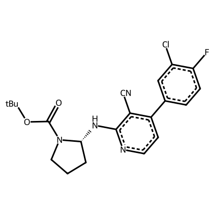 CC(C)(C)OC(=O)N1CCC[C@H]1Nc1nccc(-c2ccc(F)c(Cl)c2)c1C#N